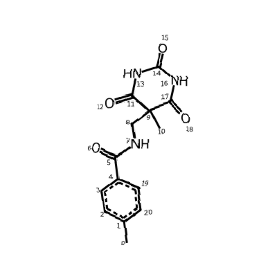 Cc1ccc(C(=O)NCC2(C)C(=O)NC(=O)NC2=O)cc1